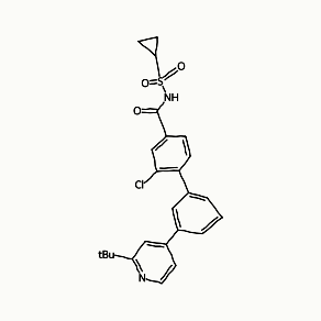 CC(C)(C)c1cc(-c2cccc(-c3ccc(C(=O)NS(=O)(=O)C4CC4)cc3Cl)c2)ccn1